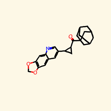 O=C(C1CC1c1cnc2cc3c(cc2c1)OCO3)C12CC3CC(CC(C3)C1)C2